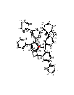 CC1(C)c2cc(-c3ccccc3)ccc2N(c2ccc3oc4cccc(-c5nc(-c6ccccc6)nc(-c6ccccc6)n5)c4c3c2)c2ccc(-c3ccccc3)cc21